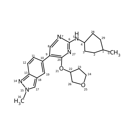 CC1CCC(Nc2ncc(-c3ccc4nn(C)cc4c3)c(OC3CCOC3)n2)CC1